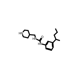 CCCC(C)c1cccc(NC(=O)NCC2CCNCC2)c1